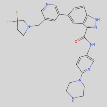 O=C(Nc1ccc(N2CCNCC2)nc1)c1n[nH]c2ccc(-c3cncc(CN4CCC(F)(F)C4)c3)cc12